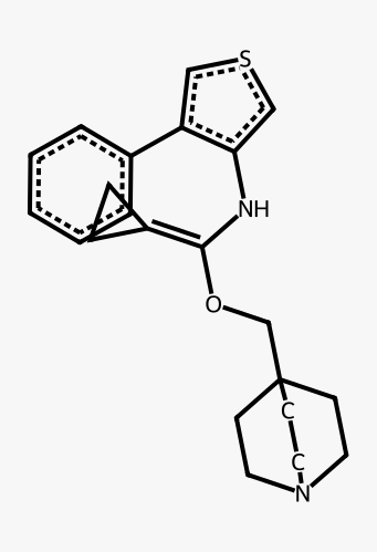 c1ccc(-c2cscc2NC(OCC23CCN(CC2)CC3)=C2CC2)cc1